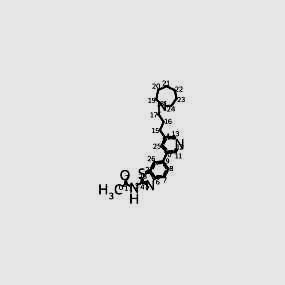 CC(=O)Nc1nc2ccc(-c3cncc(CCCN4CCCCCC4)c3)cc2s1